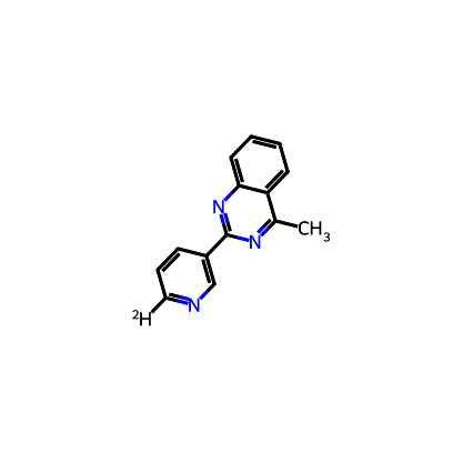 [2H]c1ccc(-c2nc(C)c3ccccc3n2)cn1